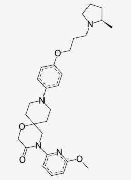 COc1cccc(N2CC3(CCN(c4ccc(OCCCN5CCC[C@H]5C)cc4)CC3)OCC2=O)n1